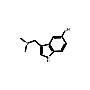 CN(C)Cc1c[nH]c2ccc(C#N)cc12